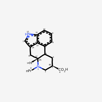 CCCN1C[C@H](C(=O)O)CC2c3cccc4[nH]cc(c34)C[C@H]21